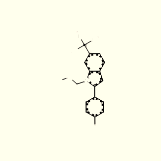 COCn1c(-c2ccc(F)cc2)cc2ccc(C(F)(F)F)cc21